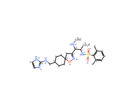 Cc1cccc(C)c1S(=O)(=O)N[C@H](C(=O)O)C(NC=O)C1=NOC2(CCC(CNc3ncc[nH]3)CC2)C1